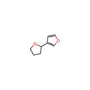 [c]1occc1C1CCCO1